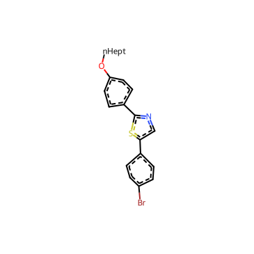 CCCCCCCOc1ccc(-c2ncc(-c3ccc(Br)cc3)s2)cc1